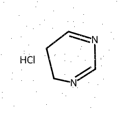 C1=NC=NCC1.Cl